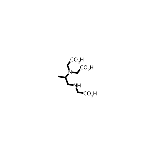 CC(CNCC(=O)O)N(CC(=O)O)CC(=O)O